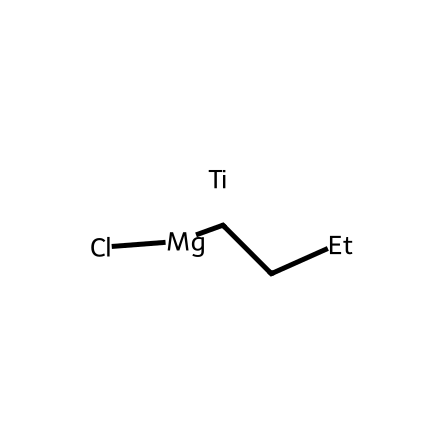 CCC[CH2][Mg][Cl].[Ti]